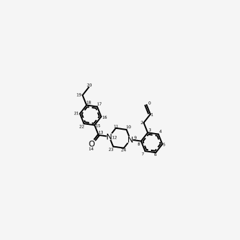 C=CCc1ccccc1N1CCN(C(=O)c2ccc(CC)cc2)CC1